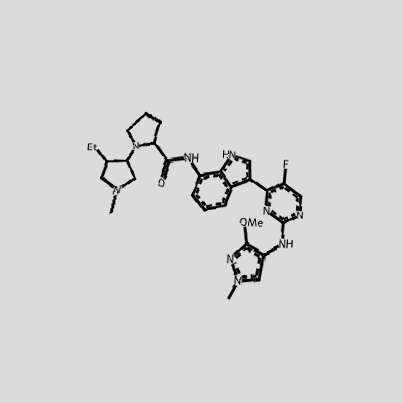 CCC1CN(C)CC1N1CCCC1C(=O)Nc1cccc2c(-c3nc(Nc4cn(C)nc4OC)ncc3F)c[nH]c12